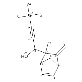 C=C1C2C=CC(C2)C1(C)C(O)C#C[Si](C)(C)C